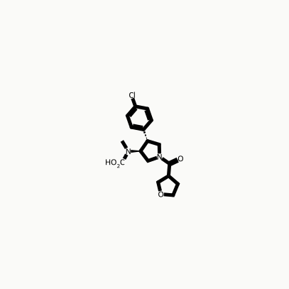 CN(C(=O)O)[C@@H]1CN(C(=O)C2CCOC2)C[C@H]1c1ccc(Cl)cc1